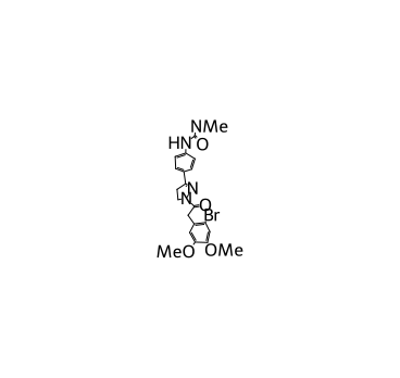 CNC(=O)Nc1ccc(C2=NN(C(=O)Cc3cc(OC)c(OC)cc3Br)CC2)cc1